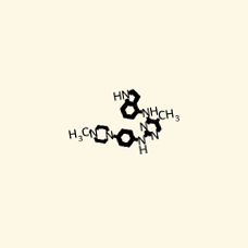 Cc1cnc(Nc2ccc(N3CCN(C)CC3)cc2)nc1Nc1cccc2[nH]ccc12